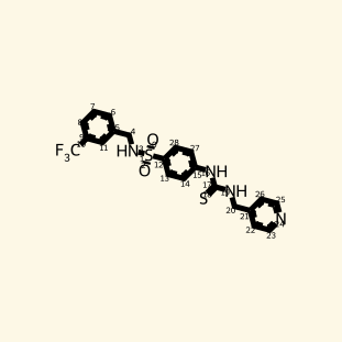 O=S(=O)(NCc1cccc(C(F)(F)F)c1)c1ccc(NC(=S)NCc2ccncc2)cc1